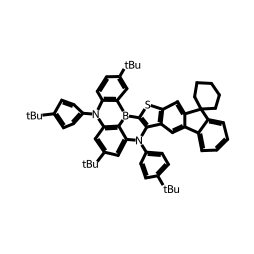 CC(C)(C)c1ccc(N2c3ccc(C(C)(C)C)cc3B3c4sc5cc6c(cc5c4N(c4ccc(C(C)(C)C)cc4)c4cc(C(C)(C)C)cc2c43)-c2ccccc2C62CCCCC2)cc1